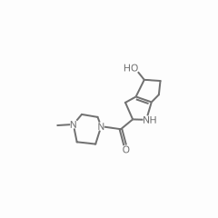 CN1CCN(C(=O)C2CC3=C(CCC3O)N2)CC1